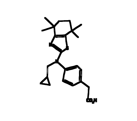 CC1(C)CCC(C)(C)c2sc(N(CC3CC3)c3ccc(CC(=O)O)cc3)nc21